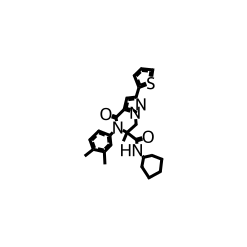 Cc1ccc(N2C(=O)c3cc(-c4cccs4)nn3CC2(C)C(=O)NC2CCCCC2)cc1C